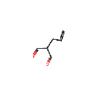 C=CCC(C=O)C=O